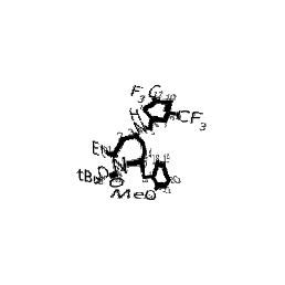 CCC1CC(NCc2cc(C(F)(F)F)cc(C(F)(F)F)c2)CC(Cc2ccccc2OC)N1C(=O)OC(C)(C)C